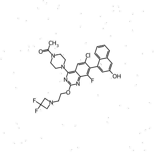 CC(=O)N1CCN(c2nc(OCCN3CC(F)(F)C3)nc3c(F)c(-c4cc(O)cc5ccccc45)c(Cl)cc23)CC1